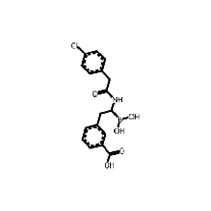 O=C(Cc1ccc(Cl)cc1)NC(Cc1cccc(C(=O)O)c1)B(O)O